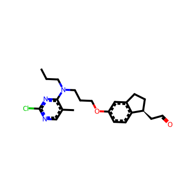 CCCN(CCCOc1ccc2c(c1)CC[C@H]2CC=O)c1nc(Cl)ncc1C